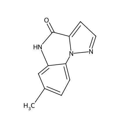 Cc1ccc2c(c1)[nH]c(=O)c1ccnn12